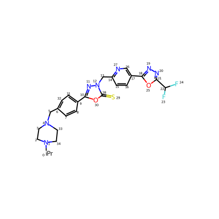 CC(C)N1CCN(Cc2ccc(-c3nn(Cc4ccc(-c5nnc(C(F)F)o5)cn4)c(=S)o3)cc2)CC1